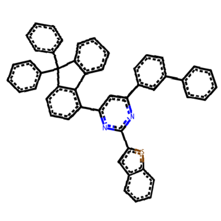 c1ccc(-c2cccc(-c3cc(-c4cccc5c4-c4ccccc4C5(c4ccccc4)c4ccccc4)nc(-c4cc5ccccc5s4)n3)c2)cc1